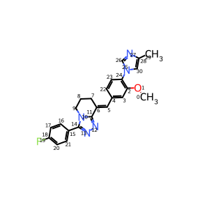 COc1cc(C=C2CCCn3c2nnc3-c2ccc(F)cc2)ccc1-n1cnc(C)c1